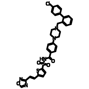 O=C(NS(=O)(=O)c1ccc(C=Cc2ncon2)s1)c1ccc(N2CCN(Cc3ccccc3-c3ccc(Cl)cc3)CC2)cc1